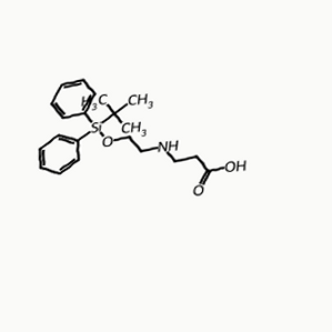 CC(C)(C)[Si](OCCNCCC(=O)O)(c1ccccc1)c1ccccc1